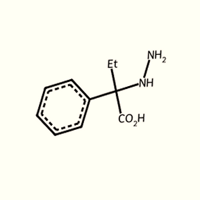 CCC(NN)(C(=O)O)c1ccccc1